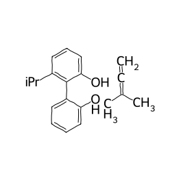 C=C=C(C)C.CC(C)c1cccc(O)c1-c1ccccc1O